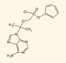 CC(C)(OCP(=O)(Cl)Oc1ccccc1)n1cnc2c(N)ncnc21